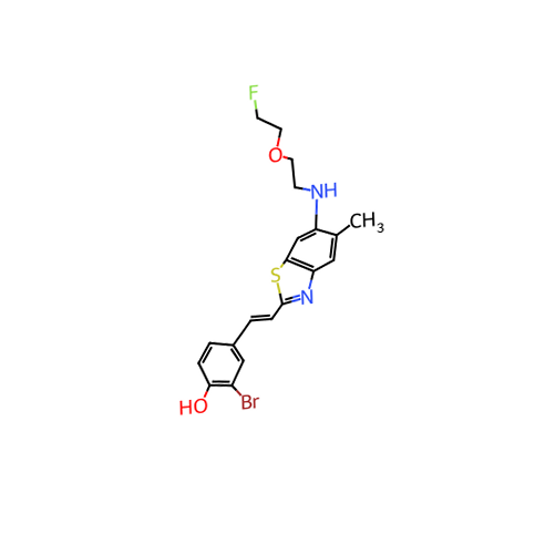 Cc1cc2nc(/C=C/c3ccc(O)c(Br)c3)sc2cc1NCCOCCF